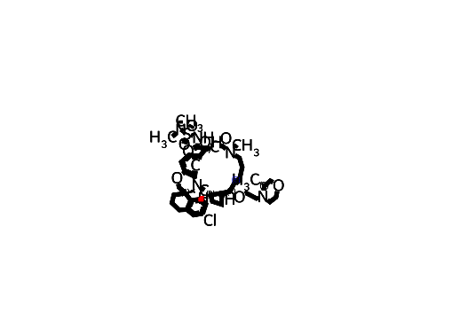 C[C@@H]1COCCN1CCO[C@H]1/C=C/CCN(C)C(=O)C[C@](O)(C(=O)NS(=O)(=O)N(C)C)c2ccc3c(c2)N(C[C@@H]2CC[C@H]21)C[C@@]1(CCCc2cc(Cl)ccc21)CO3